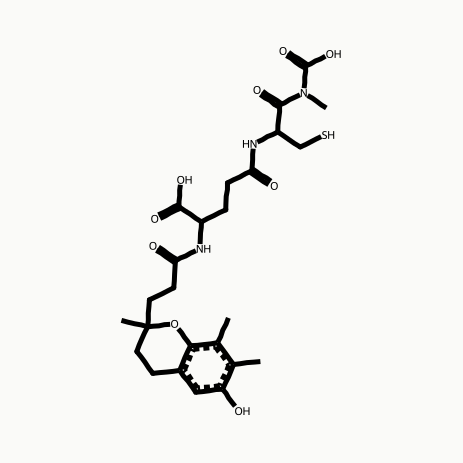 Cc1c(O)cc2c(c1C)OC(C)(CCC(=O)NC(CCC(=O)NC(CS)C(=O)N(C)C(=O)O)C(=O)O)CC2